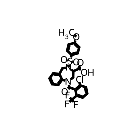 COc1ccc(S(=O)(=O)N2Cc3ccccc3N(C(=O)c3c(Cl)cccc3C(F)(F)F)CC2C(=O)O)cc1